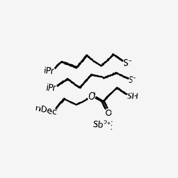 CC(C)CCCCC[S-].CC(C)CCCCC[S-].CCCCCCCCCCCCOC(=O)CS.[Sb+2]